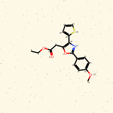 CCOC(=O)Cc1oc(-c2ccc(OC)cc2)nc1-c1cccs1